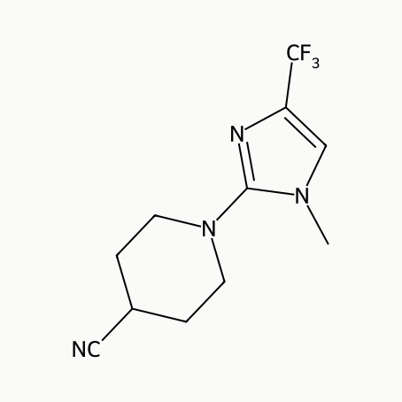 Cn1cc(C(F)(F)F)nc1N1CCC(C#N)CC1